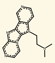 CN(C)CCn1c2ccncc2c2nc3cnccn3c21